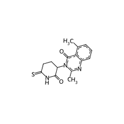 Cc1cccc2nc(C)n(C3CCC(=S)NC3=O)c(=O)c12